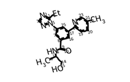 CCc1ncnn1-c1cc(C(=O)NC(C)CO)cc(-c2ccc(C)cn2)c1